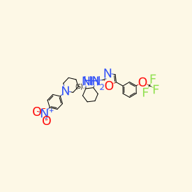 NC1([C@H]2CCCN(c3ccc([N+](=O)[O-])cc3)C2)CCCCC1Nc1ncc(-c2cccc(OC(F)(F)F)c2)o1